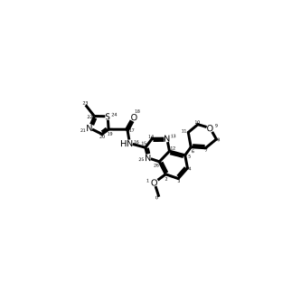 COc1ccc(C2=CCOCC2)c2ncc(NC(=O)c3cnc(C)s3)nc12